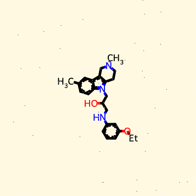 CCOc1cccc(NCC(O)Cn2c3c(c4cc(C)ccc42)CN(C)CC3)c1